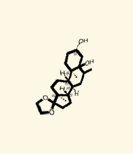 CC1C[C@H]2[C@@H]3CCC4(OCCO4)[C@@]3(C)CC[C@@H]2[C@@]2(C)CC[C@H](O)CC12O